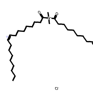 CCCCCCCC/C=C\CCCCCCCC(=O)[N+](C)(C)C(=O)CCCCCCC/C=C\CCCCCCCC.[Cl-]